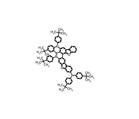 CC(C)(C)c1ccc(N2B3c4cc(C(C)(C)C)ccc4N(c4ccc(C(C)(C)C)cc4)c4cc5c(oc6ccccc65)c(c43)-c3cc4c(cc32)oc2cc(N(c3ccc(C(C)(C)C)cc3)c3ccc(C(C)(C)C)cc3)ccc24)cc1